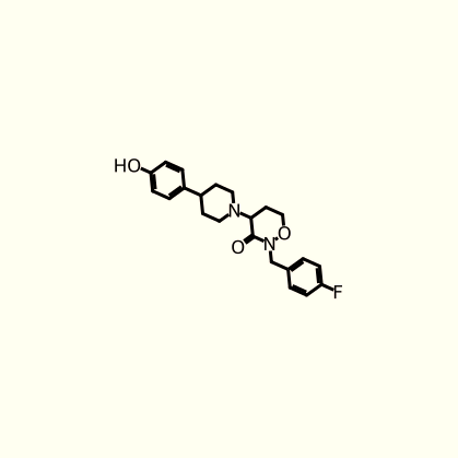 O=C1C(N2CCC(c3ccc(O)cc3)CC2)CCON1Cc1ccc(F)cc1